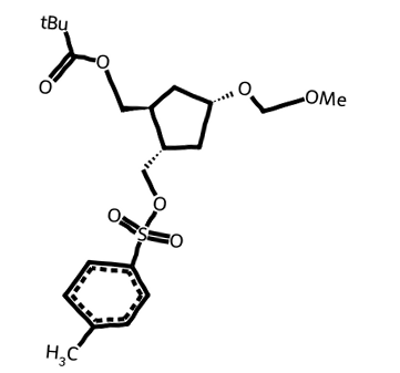 COCO[C@H]1C[C@H](COC(=O)C(C)(C)C)[C@@H](COS(=O)(=O)c2ccc(C)cc2)C1